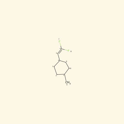 CC1CCC(C=C(F)F)CC1